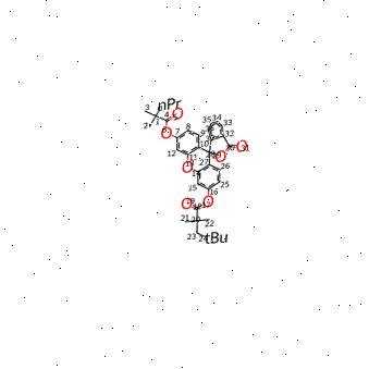 CCCC(C)(C)C(=O)Oc1ccc2c(c1)Oc1cc(OC(=O)C(C)(C)CC(C)(C)C)ccc1C21OC(=O)c2ccccc21